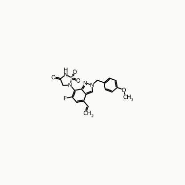 C=Cc1cc(F)c(N2CC(=O)NS2(=O)=O)c2nn(Cc3ccc(OC)cc3)cc12